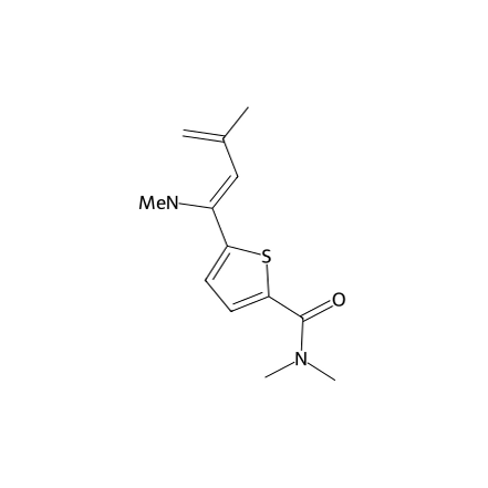 C=C(C)/C=C(\NC)c1ccc(C(=O)N(C)C)s1